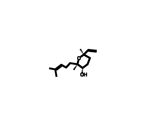 C=C[C@@]1(C)CC[C@H](O)[C@@](C)(CCC=C(C)C)O1